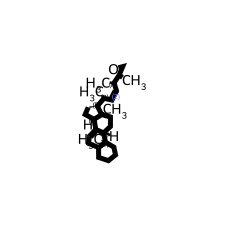 C[C@H](/C=C\[C@@H](C)C1(C)CO1)[C@H]1CC[C@H]2C3=CCC4CCCC[C@]4(C)[C@H]3CC[C@]12C